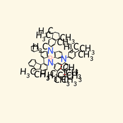 Cc1cc2c(cc1N1c3ccc(N(c4ccc(C(C)(C)C)cc4)c4ccc(C(C)(C)C)cc4)cc3B3c4c(cc(-c5ccccc5)cc41)-c1c(ccc4c1-c1ccccc1C4(C)C)N3c1ccc3c(c1)C(C)(C)CCC3(C)C)C(C)(C)CCC2(C)C